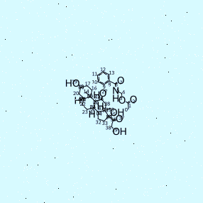 CC(=O)OCNC(=O)c1ccccc1.C[C@]12CC[C@@H](O)C[C@H]1CC[C@@H]1[C@@H]2C(=O)C[C@@]2(C)[C@H]1CC[C@]2(O)C(=O)CO